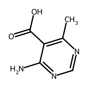 Cc1ncnc(N)c1C(=O)O